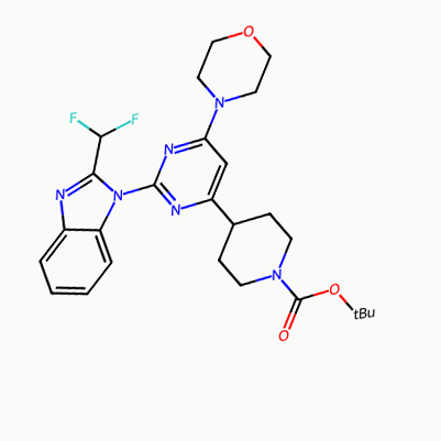 CC(C)(C)OC(=O)N1CCC(c2cc(N3CCOCC3)nc(-n3c(C(F)F)nc4ccccc43)n2)CC1